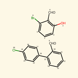 O=Cc1c(O)cccc1Br.O=Cc1ccccc1-c1ccc(Cl)cc1